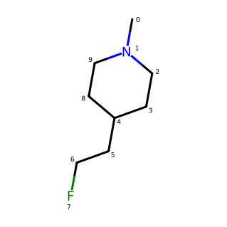 CN1CCC(CCF)CC1